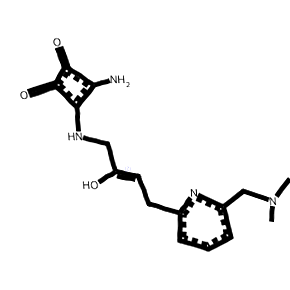 CN(C)Cc1cccc(C/C=C(\O)CNc2c(N)c(=O)c2=O)n1